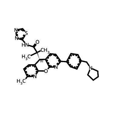 Cc1ccc2c(n1)Oc1nc(-c3ccc(CN4CCCC4)cc3)ccc1[C@H]2C(C)(C)C(=O)Nc1nncs1